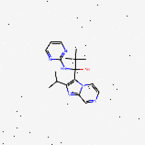 CC(C)c1nc2cnccn2c1C(O)(Nc1ncccn1)C(C)(C)C